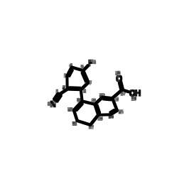 N#Cc1ccc(F)cc1C1=CCCc2ccc(C(=O)O)cc21